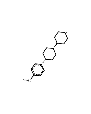 COc1ccc([C@H]2CC[C@H](C3CC[CH]CC3)CC2)cc1